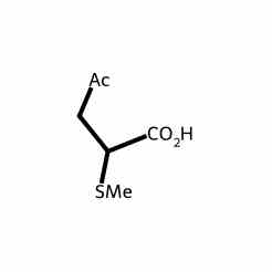 CSC(CC(C)=O)C(=O)O